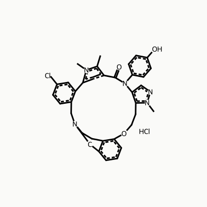 Cc1c2cc(n1C)-c1cc(Cl)ccc1CN1CCc3c(cccc3OCCc3c(cnn3C)N(c3ccc(O)cc3)C2=O)C1.Cl